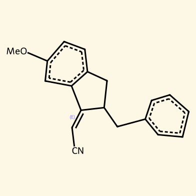 COc1ccc2c(c1)/C(=C/C#N)C(Cc1ccccc1)C2